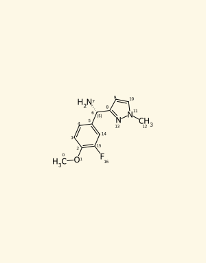 COc1ccc([C@H](N)c2ccn(C)n2)cc1F